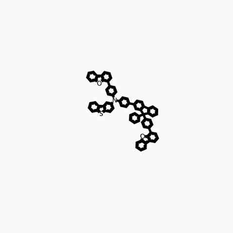 c1ccc(C2(c3ccc(-c4cccc5c4oc4ccccc45)cc3)c3ccccc3-c3ccc(-c4ccc(N(c5ccc(-c6cccc7c6oc6ccccc67)cc5)c5ccc6sc7ccccc7c6c5)cc4)cc32)cc1